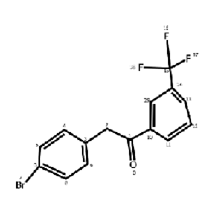 O=C(Cc1ccc(Br)cc1)c1cccc(C(F)(F)F)c1